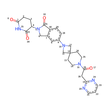 O=C1CCC(N2Cc3cc(N4CC5(CCN(C(=O)Cc6ncccn6)CC5)C4)ccc3C2=O)C(=O)N1